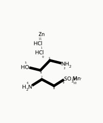 Cl.Cl.NCCO.NCCS(=O)(=O)O.[Mn].[Zn]